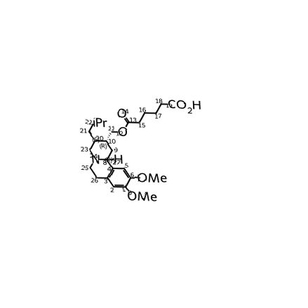 COc1cc2c(cc1OC)[C@H]1C[C@@H](COC(=O)CCCCC(=O)O)[C@H](CC(C)C)CN1CC2